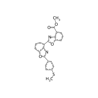 COC(=O)c1cccc2oc(-c3cccc4oc(-c5ccc(SC)cc5)nc34)nc12